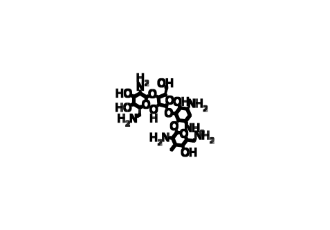 CC1C(N)[C@@H](O[C@@H]2C(N)C[C@@H](N)C(O)C2O[C@@H]2O[C@H](CO)[C@H](OC3O[C@@H](CN)C(O)C(O)[C@H]3N)[C@@H]2O)OC(CN)[C@H]1O